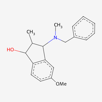 COc1ccc2c(c1)C(N(C)Cc1ccccc1)C(C)C2O